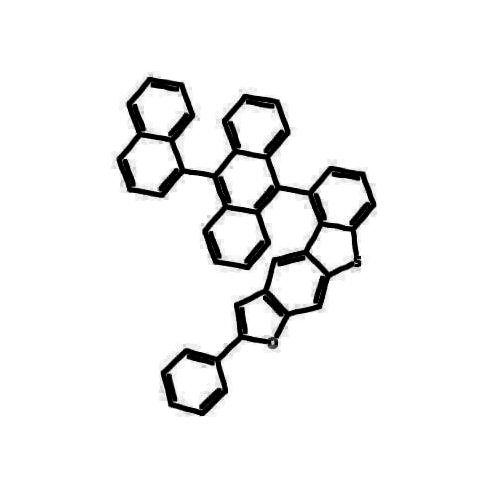 c1ccc(-c2cc3cc4c(cc3o2)sc2cccc(-c3c5ccccc5c(-c5cccc6ccccc56)c5ccccc35)c24)cc1